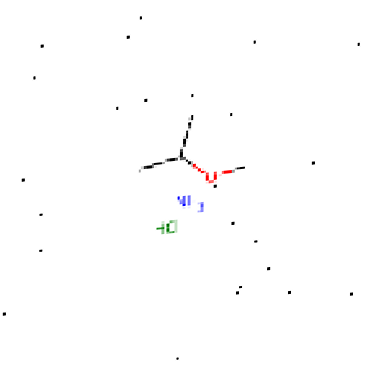 COC(C)C.Cl.N